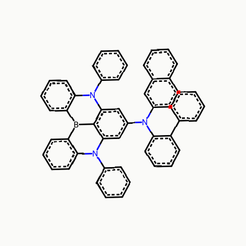 c1ccc(-c2ccccc2N(c2cc3c4c(c2)N(c2ccccc2)c2ccccc2B4c2ccccc2N3c2ccccc2)c2ccc3ccccc3c2)cc1